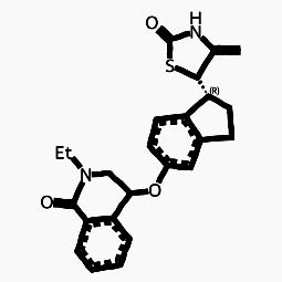 C=C1NC(=O)SC1[C@@H]1CCc2cc(OC3CN(CC)C(=O)c4ccccc43)ccc21